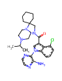 CC(C)N1CCN(C2(CNC(=O)c3cn(-c4nccnc4N)c4cccc(Cl)c34)CCCCC2)CC1